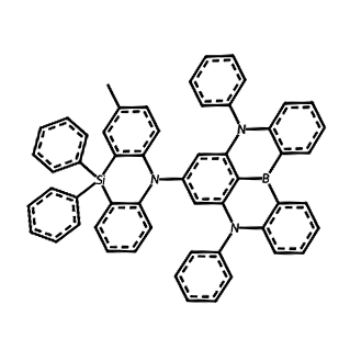 Cc1ccc2c(c1)[Si](c1ccccc1)(c1ccccc1)c1ccccc1N2c1cc2c3c(c1)N(c1ccccc1)c1ccccc1B3c1ccccc1N2c1ccccc1